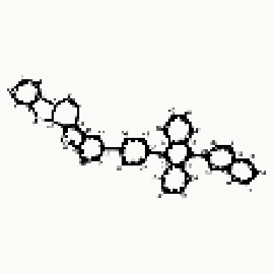 C1=CC2c3ccccc3OC2c2oc3ccc(-c4ccc(-c5c6ccccc6c(-c6ccc7ccccc7c6)c6ccccc56)cc4)cc3c21